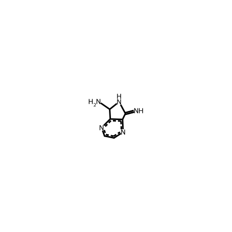 N=C1NC(N)c2nccnc21